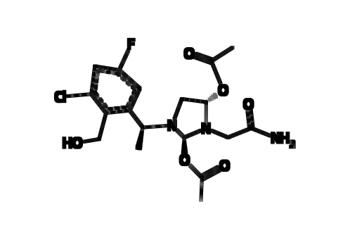 CC(=O)O[C@@H]1N(CC(N)=O)[C@@H](OC(C)=O)CN1[C@@H](C)c1cc(F)cc(Cl)c1CO